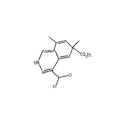 CCOC(=O)C1(C)C=C(C)C2=CNN=C(C(Cl)Cl)C2=C1